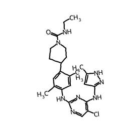 CCNC(=O)N1CCC(c2cc(C)c(Nc3ncc(Cl)c(Nc4cc(C)[nH]n4)n3)cc2C)CC1